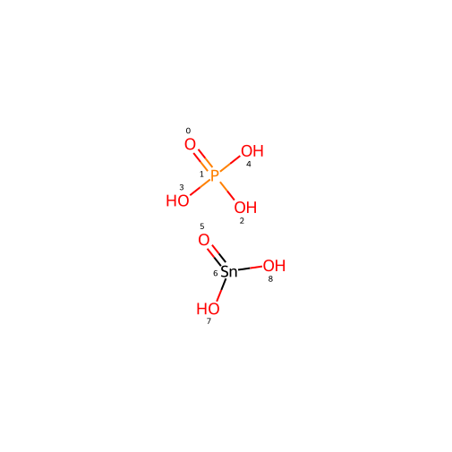 O=P(O)(O)O.[O]=[Sn]([OH])[OH]